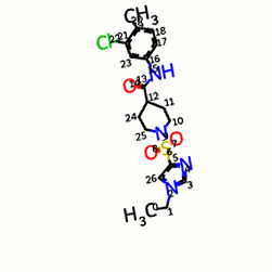 CCn1cnc(S(=O)(=O)N2CCC(C(=O)Nc3ccc(C)c(Cl)c3)CC2)c1